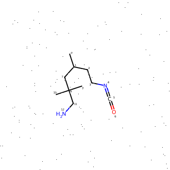 CC(CCN=C=O)CC(C)(C)CN